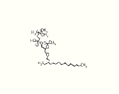 CCCCCCCCCCCCC(CC)CCOCC(COP(=O)(O)CC[N+](C)(C)C)OC(C)=O